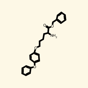 NC(CCCCOc1ccc(Oc2ccccc2)cc1)C(=O)OCc1ccccc1